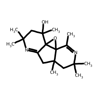 CC1=NC(C)(C)CC2(C)CC3=NC(C)(C)CC(C)(O)C34OC124